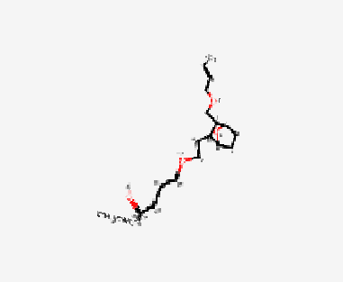 CCC=CCOCC1C2CCC(O2)C1CCOCCCC(=O)N(C)O